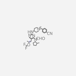 C/C(=C\c1cnc(NC2CCN(Sc3ccc(C#N)cc3)CC2)nc1N(C=O)C1CCCC1C)OC(F)F